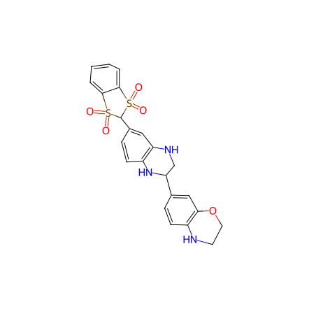 O=S1(=O)c2ccccc2S(=O)(=O)C1c1ccc2c(c1)NCC(c1ccc3c(c1)OCCN3)N2